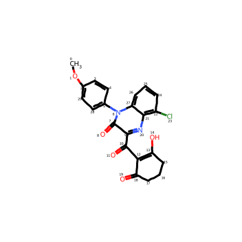 COc1ccc(-n2c(=O)c(C(=O)C3=C(O)CCCC3=O)nc3c(Cl)cccc32)cc1